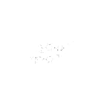 O=C1CCC(N2Cc3cc(O[C@@H]4CN(Cc5ccccc5)CC[C@H]4NCC4CC4)ccc3C2=O)C(=O)N1